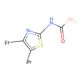 BC(=O)Nc1nc(CC)c(C(C)C)s1